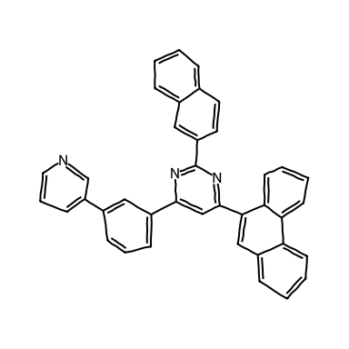 c1cncc(-c2cccc(-c3cc(-c4cc5ccccc5c5ccccc45)nc(-c4ccc5ccccc5c4)n3)c2)c1